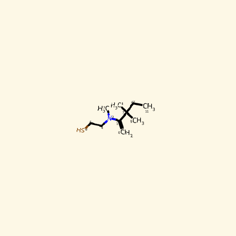 C=C(N(C)CCS)C(C)(C)CC